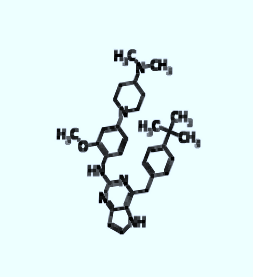 COc1cc(N2CCC(N(C)C)CC2)ccc1Nc1nc(Cc2ccc(C(C)(C)C)cc2)c2[nH]ccc2n1